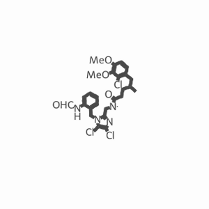 COc1ccc(CC(C)CCC(=O)[N]Cc2nc(Cl)c(Cl)n2Cc2ccccc2NC=O)c(Cl)c1OC